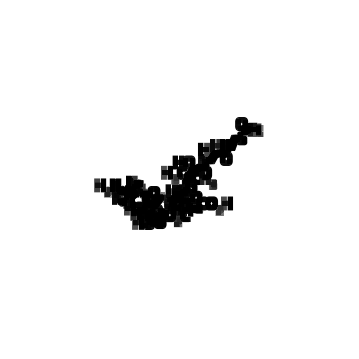 CCC(=O)SCCNC(=O)CCNC(=O)C(O)C(C)(C)COP(=O)(O)OP(=O)(O)OC[C@H]1O[C@@H](n2cnc3c(N)ncnc32)[C@H](O)[C@@H]1OP(=O)(O)O.O=C(O)CCC(=O)O